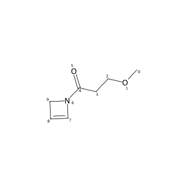 COCCC(=O)N1C=CC1